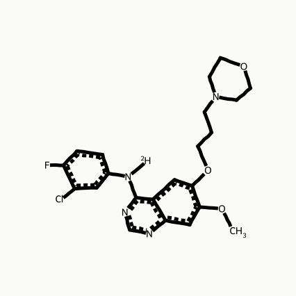 [2H]N(c1ccc(F)c(Cl)c1)c1ncnc2cc(OC)c(OCCCN3CCOCC3)cc12